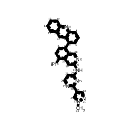 CC(C)c1ccc(-c2cccc3nc4ccccc4cc23)c2cnc(Nc3ccnc(-c4cnn(C)c4)n3)cc12